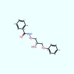 O=C(NOCC(O)COc1ccccc1)c1ccccc1